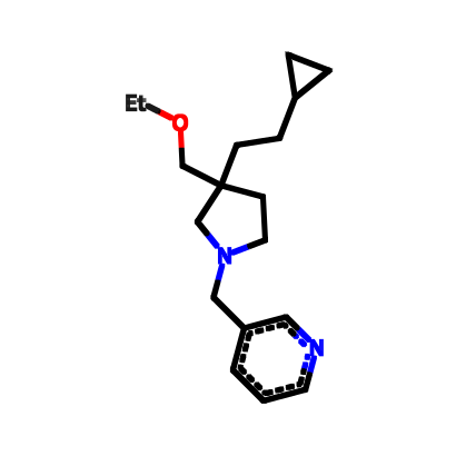 CCOCC1(CCC2CC2)CCN(Cc2cccnc2)C1